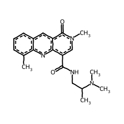 Cc1cccc2cc3c(=O)n(C)cc(C(=O)NCC(C)N(C)C)c3nc12